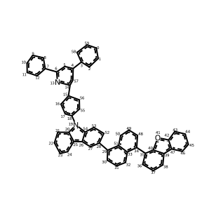 c1ccc(-c2cc(-c3ccccc3)nc(-c3ccc(-n4c5ccccc5c5cc(-c6cccc7c(-c8cccc9c8oc8ccccc89)cccc67)ccc54)cc3)c2)cc1